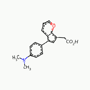 CN(C)c1ccc(-c2cc(CC(=O)O)c3occcc2-3)cc1